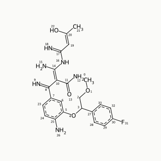 COCC(Oc1cc(C(=N)/C(C(N)=O)=C(\N)NC(=N)/C=C(/C)O)ccc1N)c1ccc(F)cc1